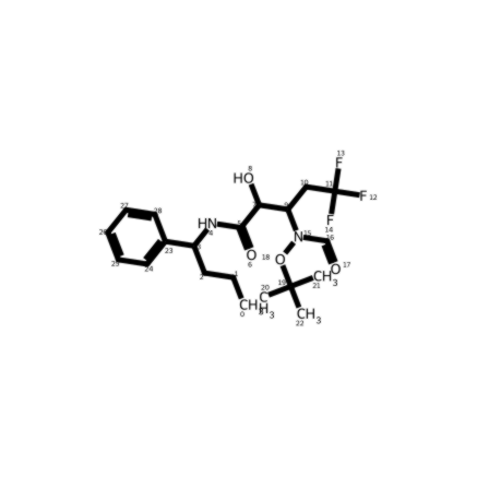 CCCC(NC(=O)C(O)C(CC(F)(F)F)N(C=O)OC(C)(C)C)c1ccccc1